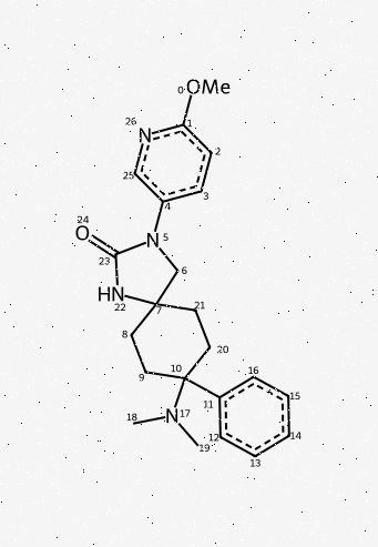 COc1ccc(N2CC3(CCC(c4ccccc4)(N(C)C)CC3)NC2=O)cn1